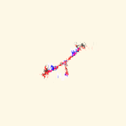 CC(=O)OCc1ccc(O[C@H]2C[C@@H](O)C[C@@H](C(=O)O)C2)c(C(=O)NCc2cn(CCOCCOCCN(CCOCCOCCON)CCOCCOCCn3cc(CNC(=O)c4cc(COC(C)=O)ccc4O[C@H]4C[C@@H](O)C[C@@H](C(=O)O)O4)nn3)nn2)c1